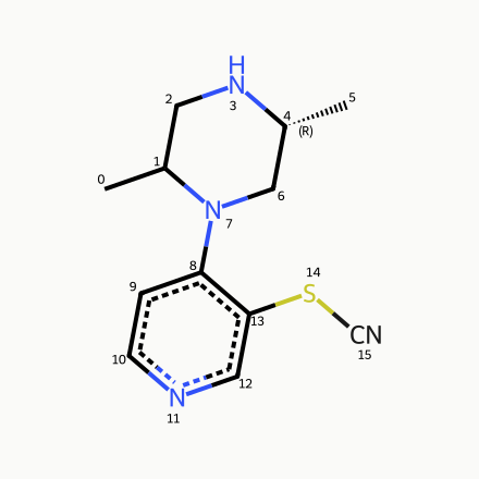 CC1CN[C@H](C)CN1c1ccncc1SC#N